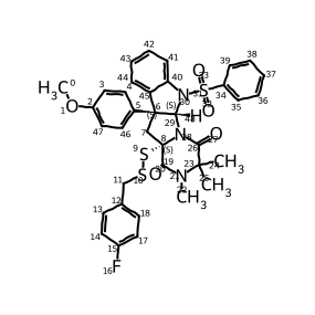 COc1ccc([C@]23C[C@]4(SSCc5ccc(F)cc5)C(=O)N(C)C(C)(C)C(=O)N4[C@H]2N(S(=O)(=O)c2ccccc2)c2ccccc23)cc1